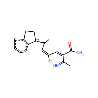 CC(=N)/C(=C\C(Cl)=C/C(C)[C@@H]1CCc2ccccc21)C(N)=O